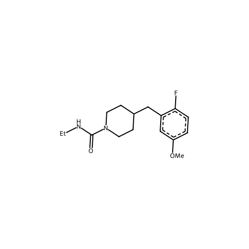 CCNC(=O)N1CCC(Cc2cc(OC)ccc2F)CC1